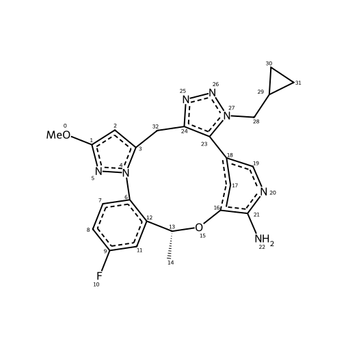 COc1cc2n(n1)-c1ccc(F)cc1[C@@H](C)Oc1cc(cnc1N)-c1c(nnn1CC1CC1)C2